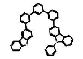 c1ccc(-n2c3ccccc3c3cc(-c4cccc(-c5cccc(-c6cccc(-c7ccc8oc9ccncc9c8c7)c6)c5)c4)ccc32)cc1